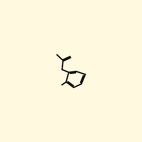 C=C(C)Cc1ccccc1C